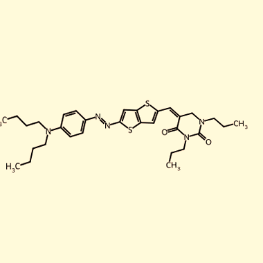 CCCCN(CCCC)c1ccc(/N=N/c2cc3sc(/C=C4/CN(CCC)C(=O)N(CCC)C4=O)cc3s2)cc1